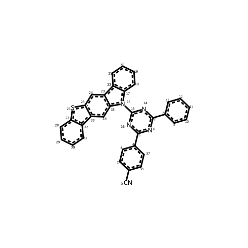 N#Cc1ccc(-c2nc(-c3ccccc3)nc(-n3c4ccccc4c4cc5sc6ccccc6c5cc43)n2)cc1